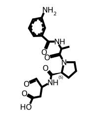 CC(NC(=O)c1cccc(N)c1)C(=O)N1CCC[C@H]1C(=O)NC(C=O)CC(=O)O